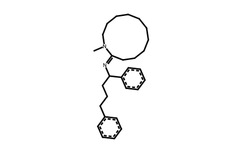 CN1CCCCCCCCCC/C1=N\C(CCCc1ccccc1)c1ccccc1